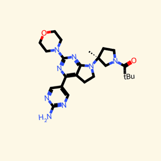 CC(C)(C)C(=O)N1CC[C@](C)(N2CCc3c(-c4cnc(N)nc4)nc(N4CCOCC4)nc32)C1